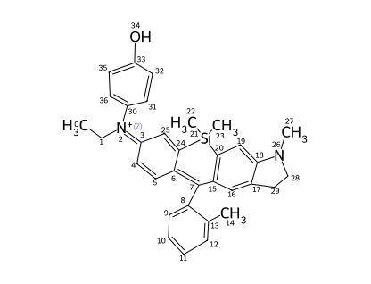 CC/[N+](=C1\C=CC2=C(c3ccccc3C)c3cc4c(cc3[Si](C)(C)C2=C1)N(C)CC4)c1ccc(O)cc1